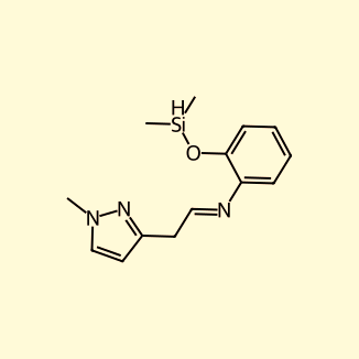 Cn1ccc(CC=Nc2ccccc2O[SiH](C)C)n1